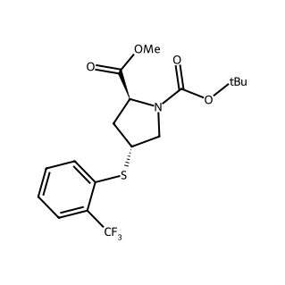 COC(=O)[C@@H]1C[C@@H](Sc2ccccc2C(F)(F)F)CN1C(=O)OC(C)(C)C